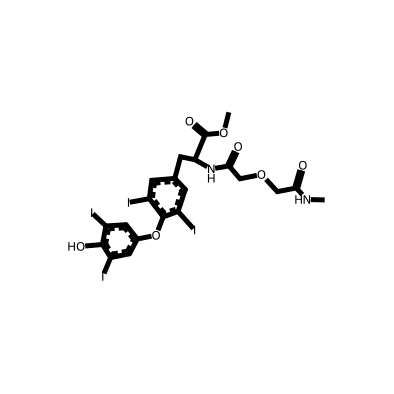 CNC(=O)COCC(=O)NC(Cc1cc(I)c(Oc2cc(I)c(O)c(I)c2)c(I)c1)C(=O)OC